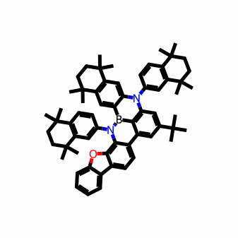 CC(C)(C)c1cc2c3c(c1)N(c1ccc4c(c1)C(C)(C)CCC4(C)C)c1cc4c(cc1B3N(c1ccc3c(c1)C(C)(C)CCC3(C)C)c1c-2ccc2c1oc1ccccc12)C(C)(C)CCC4(C)C